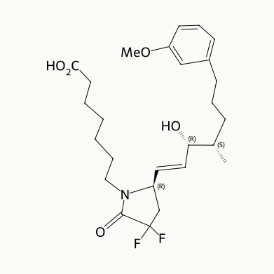 COc1cccc(CCC[C@H](C)[C@@H](O)C=C[C@H]2CC(F)(F)C(=O)N2CCCCCCC(=O)O)c1